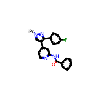 CC(C)n1cc(-c2ccnc(NC(=O)c3ccccc3)c2)c(-c2ccc(F)cc2)n1